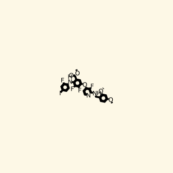 COC(=O)c1cc(Oc2ccnc(NCc3ccc(OC)cc3OC)c2F)c(F)c(F)c1Nc1ccc(I)cc1F